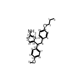 CCCOc1ccc(CC(c2ccc(OC)cc2)c2csc(N)n2)cc1